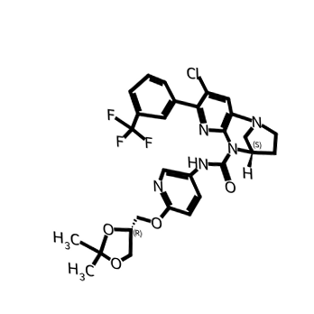 CC1(C)OC[C@@H](COc2ccc(NC(=O)N3c4nc(-c5cccc(C(F)(F)F)c5)c(Cl)cc4N4CC[C@H]3C4)cn2)O1